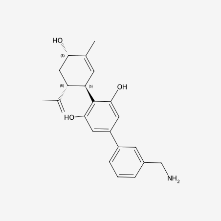 C=C(C)[C@@H]1C[C@H](O)C(C)=C[C@H]1c1c(O)cc(-c2cccc(CN)c2)cc1O